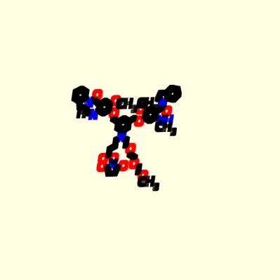 CNc1cc(OCc2cc(COc3cc4c(cc3OC)C(=O)N3c5ccccc5C[C@H]3C=N4)cc(N(CCCC(=O)ON3C(=O)CCC3=O)CCOCCOCCOC)c2)c(OC)cc1C(=O)N1CCc2ccccc21